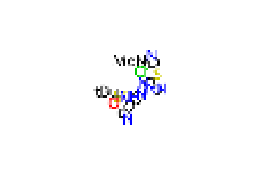 CNc1nccc(Sc2cnc(N3CCC4(CC3)Cc3ncccc3C4N[S+]([O-])C(C)(C)C)n3ccnc23)c1Cl